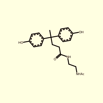 CC(=O)NCCNC(=O)CCC(C)(c1ccc(O)cc1)c1ccc(O)cc1